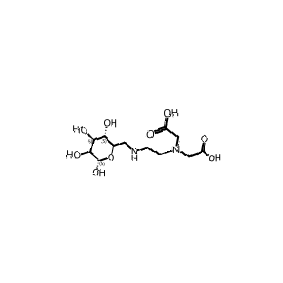 O=C(O)CN(CCNCC1O[C@H](O)C(O)[C@@H](O)[C@@H]1O)CC(=O)O